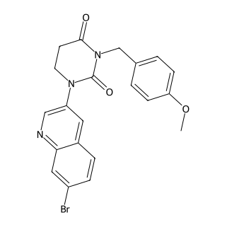 COc1ccc(CN2C(=O)CCN(c3cnc4cc(Br)ccc4c3)C2=O)cc1